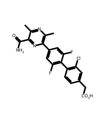 Cc1nc(C)c(-c2cc(F)c(-c3ccc(CC(=O)O)cc3Cl)c(F)c2)nc1C(N)=O